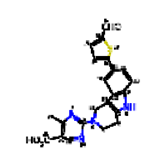 Cc1nc(N2CCc3[nH]c4ccc(-c5ccc(C=O)s5)cc4c3C2)ncc1C(=O)O